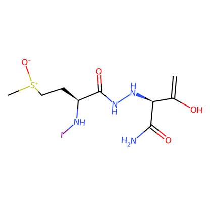 C=C(O)[C@H](NNC(=O)[C@H](CC[S+](C)[O-])NI)C(N)=O